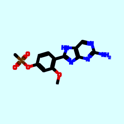 COc1cc(OS(C)(=O)=O)ccc1-c1nc2nc(N)ncc2[nH]1